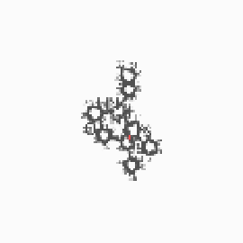 C1=CC2c3ccccc3SC2C=C1C1=NC(c2ccc3ccccc3c2)NC(c2cccc3oc4ccc(-c5cccc(-c6ccccc6)c5)cc4c23)=N1